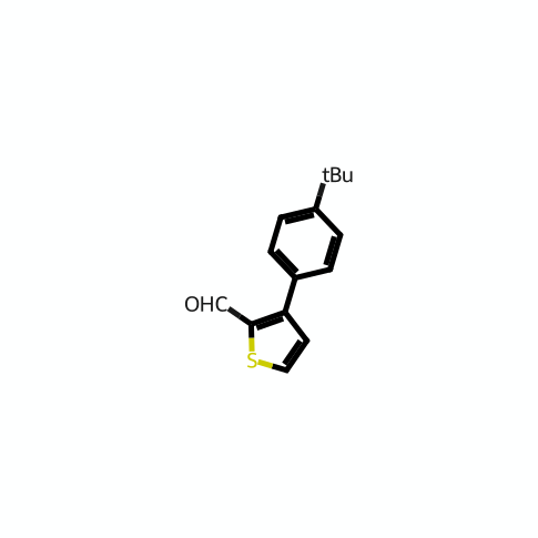 CC(C)(C)c1ccc(-c2ccsc2C=O)cc1